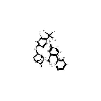 CC1C2CC(Oc3ccc(C(F)(F)F)c(F)n3)C(C2)N1C(=O)c1cc(F)ccc1-c1ncccn1